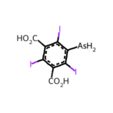 O=C(O)c1c(I)c([AsH2])c(I)c(C(=O)O)c1I